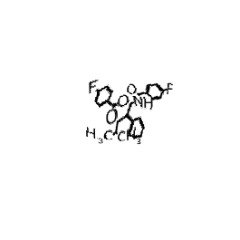 CC(C)C(OC(=O)c1ccc(F)cc1)C(CNC(=O)c1ccc(F)cc1)c1ccccc1